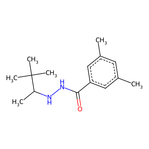 Cc1cc(C)cc(C(=O)NNC(C)C(C)(C)C)c1